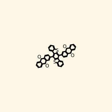 O=C1c2ccccc2C(=O)c2cc(-c3c4sc5ccccc5c4c(-c4ccc5c(c4)C(=O)c4ccccc4C5=O)c4sc5ccccc5c34)ccc21